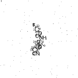 CC(CCNC(=O)Oc1ccc(F)cc1)S(=O)(=O)C(C)c1ccc(C#N)cc1